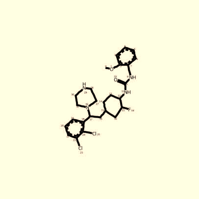 COc1ccccc1NC(=O)NC1CCC(CC(c2cccc(Cl)c2Cl)N2CCNCC2)CC1F